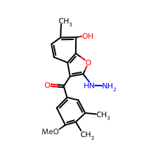 COc1cc(C(=O)c2c(NN)oc3c(O)c(C)ccc23)cc(C)c1C